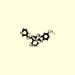 Cc1ccc2nc([N+]3(C(N)=O)CCNCC3COc3cccnc3)sc2c1